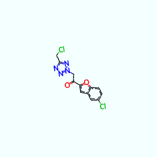 O=C(Cn1nnc(CCl)n1)c1cc2cc(Cl)ccc2o1